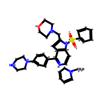 O=C(O)N1C=CC=CC1.O=S(=O)(c1ccccc1)n1c(CN2CCOCC2)cc2c(-c3ccc(N4CCNCC4)cc3)nccc21